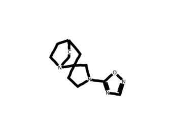 c1noc(N2CCC3(CC4CCN3CC4)C2)n1